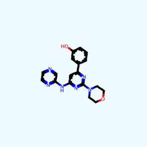 Oc1cccc(-c2cc(Nc3cnccn3)nc(N3CCOCC3)n2)c1